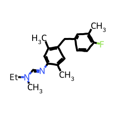 CCN(C)C=Nc1cc(C)c(Cc2ccc(F)c(C)c2)cc1C